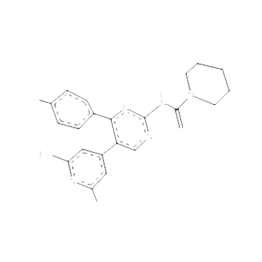 Cc1cc(-c2cnc(NC(=O)N3CCCCC3)nc2-c2ccc(F)cc2)cc(Cl)n1